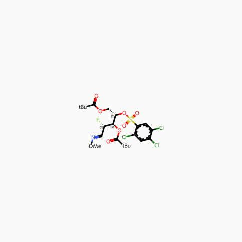 CON=C[C@H](F)[C@H](OC(=O)C(C)(C)C)[C@H](COC(=O)C(C)(C)C)OS(=O)(=O)c1cc(Cl)c(Cl)cc1Cl